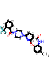 Cc1ccc2c(c1)NC(=O)c1ccc(N3CCN(C(=O)c4ccccc4C(F)(F)F)CC3)nc1O2